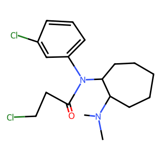 CN(C)C1CCCCCC1N(C(=O)CCCl)c1cccc(Cl)c1